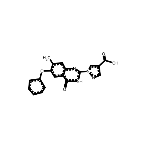 Cc1cc2nc(-n3cc(C(=O)O)cn3)[nH]c(=O)c2cc1Oc1ccccc1